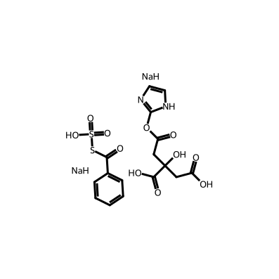 O=C(O)CC(O)(CC(=O)Oc1ncc[nH]1)C(=O)O.O=C(SS(=O)(=O)O)c1ccccc1.[NaH].[NaH]